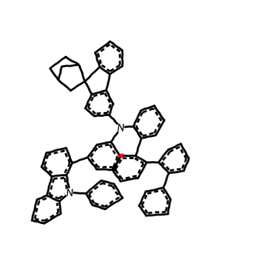 c1ccc(-c2ccccc2-c2ccccc2-c2ccccc2N(c2cccc(-c3cccc4c5ccccc5n(-c5ccccc5)c34)c2)c2ccc3c(c2)-c2ccccc2C32CC3CCC2C3)cc1